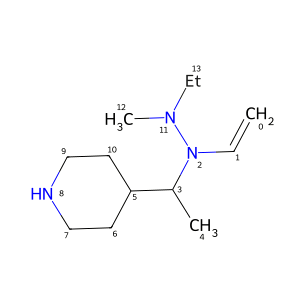 C=CN(C(C)C1CCNCC1)N(C)CC